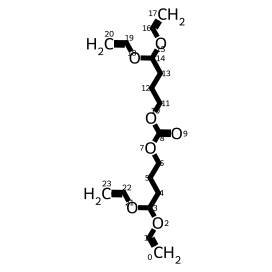 C=COC(CCCOC(=O)OCCCC(OC=C)OC=C)OC=C